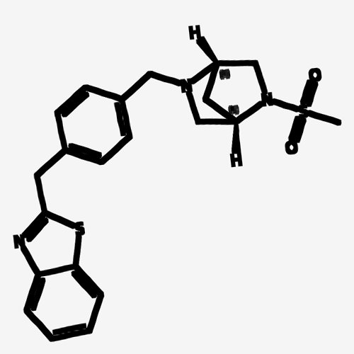 CS(=O)(=O)N1C[C@@H]2C[C@H]1CN2Cc1ccc(Cc2nc3ccccc3s2)cc1